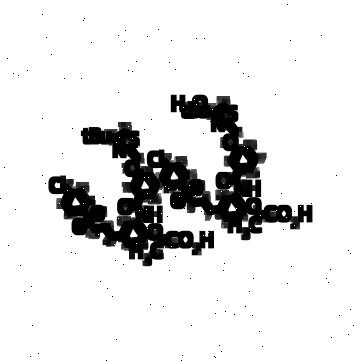 CC(Oc1ccc(CCCS(=O)(=O)c2ccc(Cl)cc2)cc1NC(=O)c1cccc(OCc2nc(C(C)(C)C)cs2)c1)C(=O)O.CC(Oc1ccc(CCCS(=O)(=O)c2ccc(Cl)cc2)cc1NC(=O)c1cccc(OCc2nc(C(C)(C)C)cs2)c1)C(=O)O.O